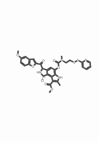 COC(=O)c1c(C)[nH]c2c(OC(=O)N(C)CCSSc3ccccn3)cc3c(c12)[C@H](Cl)NC3C(=O)c1cc2cc(OC)ccc2o1